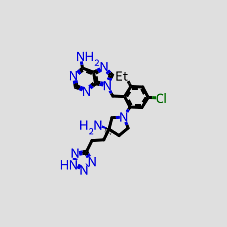 CCc1cc(Cl)cc(N2CC[C@](N)(CCc3nn[nH]n3)C2)c1Cn1cnc2c(N)ncnc21